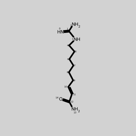 N=C(N)NCCCCCCC=CC(N)=O